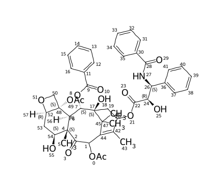 CC(=O)OC1C(=O)[C@@]2(C)[C@H]([C@H](OC(=O)c3ccccc3)[C@]3(O)CC(OC(=O)[C@H](O)[C@@H](NC(=O)c4ccccc4)c4ccccc4)C(C)=C1C3(C)C)[C@]1(OC(C)=O)CO[C@@H]1C[C@@H]2O